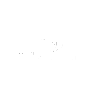 Cc1ccc(C)c(S(=O)(=O)Nc2cncc(C(=O)N3CCOCC3)c2)c1